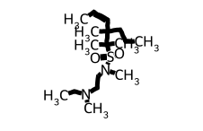 C/C=C\C(C)(CCC)C(C)(C)S(=O)(=O)N(C)CCN(C)CC